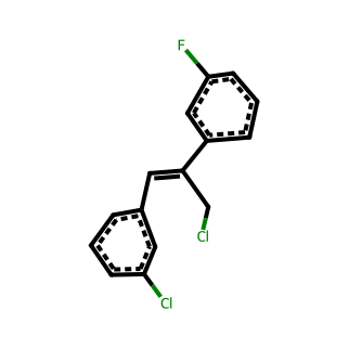 Fc1cccc(C(=Cc2cccc(Cl)c2)CCl)c1